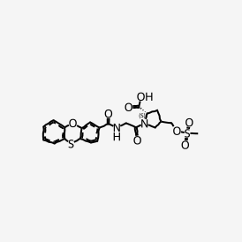 CS(=O)(=O)OCC1C[C@@H](C(=O)O)N(C(=O)CNC(=O)c2ccc3c(c2)Oc2ccccc2S3)C1